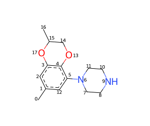 Cc1cc2c(c(N3CCNCC3)c1)OCC(C)O2